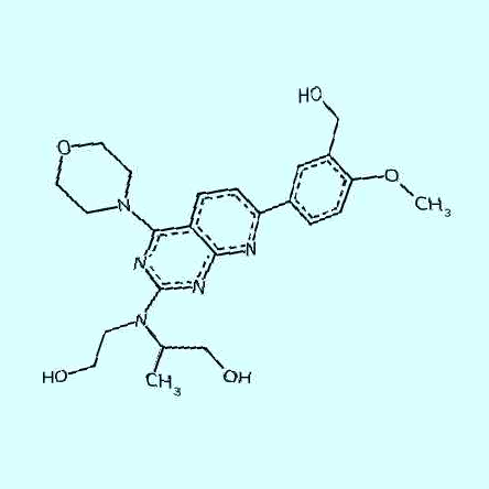 COc1ccc(-c2ccc3c(N4CCOCC4)nc(N(CCO)C(C)CO)nc3n2)cc1CO